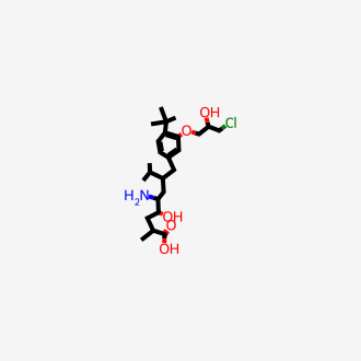 CC(CC(O)C(N)CC(Cc1ccc(C(C)(C)C)c(OCC(O)CCl)c1)C(C)C)C(=O)O